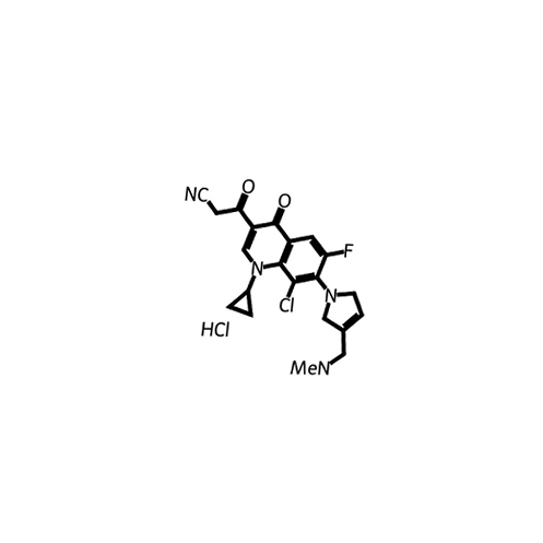 CNCC1=CCN(c2c(F)cc3c(=O)c(C(=O)CC#N)cn(C4CC4)c3c2Cl)C1.Cl